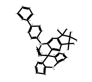 CC1(C)c2cc3c(cc2C(C)(C)C1(C)C)C1(c2ccccc2Oc2ccccc21)c1ccccc1N3c1ccc(-c2ccccc2)cc1